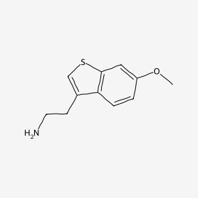 COc1ccc2c(CCN)csc2c1